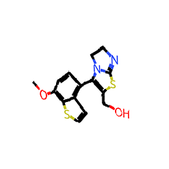 COc1ccc(C2=C(CO)SC3=NCCN32)c2ccsc12